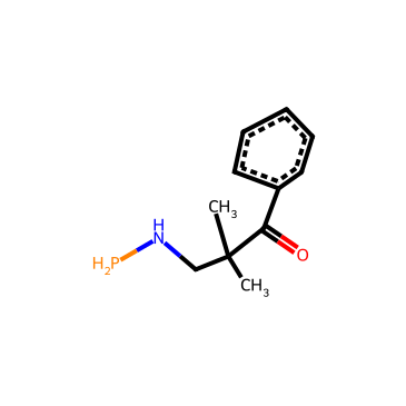 CC(C)(CNP)C(=O)c1ccccc1